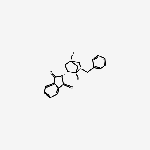 O=C1c2ccccc2C(=O)N1[C@@H]1C[C@H]2C[C@@H]1N(Cc1ccccc1)C2